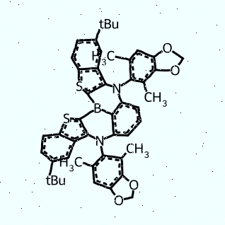 Cc1cc2c(c(C)c1N1c3cccc4c3B(c3sc5ccc(C(C)(C)C)cc5c31)c1sc3ccc(C(C)(C)C)cc3c1N4c1c(C)cc3c(c1C)OCO3)OCO2